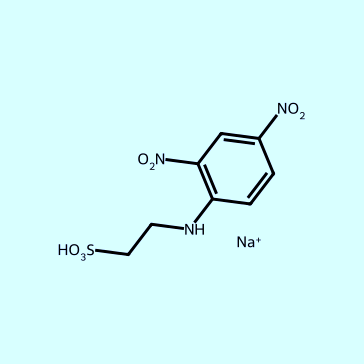 O=[N+]([O-])c1ccc(NCCS(=O)(=O)O)c([N+](=O)[O-])c1.[Na+]